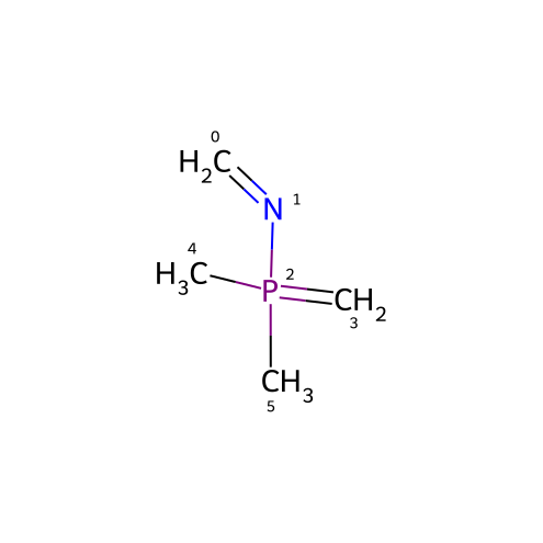 C=NP(=C)(C)C